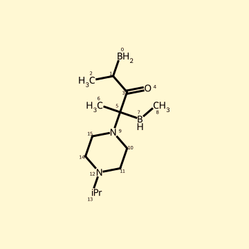 BC(C)C(=O)C(C)(BC)N1CCN(C(C)C)CC1